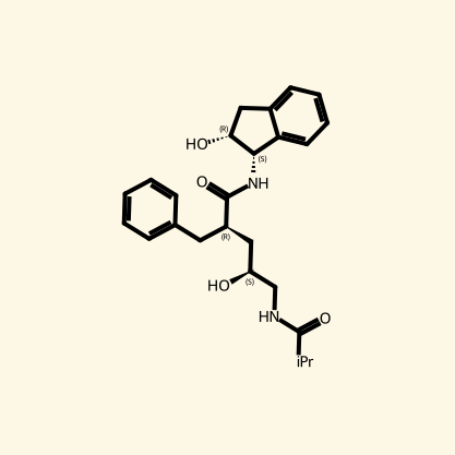 CC(C)C(=O)NC[C@@H](O)C[C@@H](Cc1ccccc1)C(=O)N[C@H]1c2ccccc2C[C@H]1O